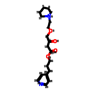 O=C(COCCN1CCCCC1)CC(=O)OCCCc1ccncc1